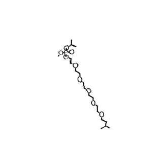 COP(=O)(OCCOCCOCCOCCOCCOCCC(C)C)OC(C)C